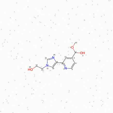 COC(O)c1ccnc(-c2cn(CCO)cn2)c1